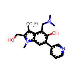 CCOC(=O)c1c(CO)n(C)c2cc(-c3cccnc3)c(O)c(CN(C)C)c12